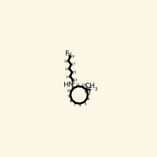 CC1(F)CCCCCCCCC(NCCCCCCCF)CC1